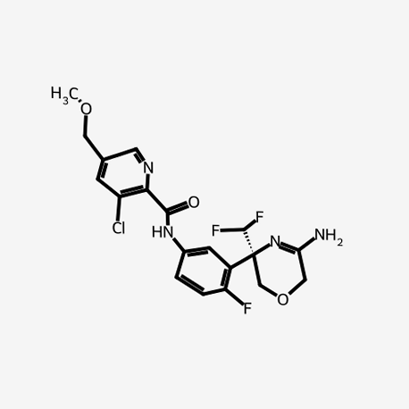 COCc1cnc(C(=O)Nc2ccc(F)c([C@]3(C(F)F)COCC(N)=N3)c2)c(Cl)c1